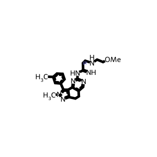 COCCN/C=C\C(=N)Nc1ncc2c(n1)-c1c(nn(C)c1-c1cccc(C)c1)CC2